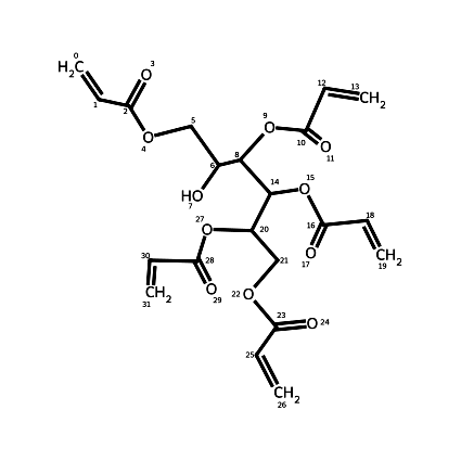 C=CC(=O)OCC(O)C(OC(=O)C=C)C(OC(=O)C=C)C(COC(=O)C=C)OC(=O)C=C